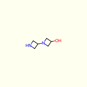 OC1CN(C2CNC2)C1